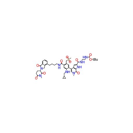 CN1C(=O)CCC(N2Cc3c(CCCCNC(=O)c4cc(NCC5CC5)c(-c5cn(C)c(=O)c6[nH]c(C(=O)NCCNC(=O)OC(C)(C)C)cc56)cc4CS(C)(=O)=O)cccc3C2=O)C1=O